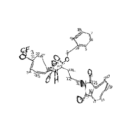 O=C(OCc1ccccc1)C(CCN1C(=O)c2ccccc2C1=O)NS(=O)(=O)c1ccc(OC(F)(F)F)cc1